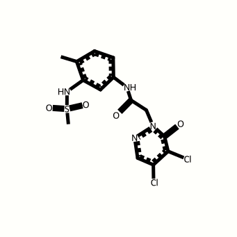 Cc1ccc(NC(=O)Cn2ncc(Cl)c(Cl)c2=O)cc1NS(C)(=O)=O